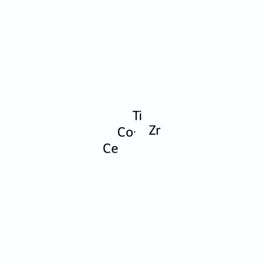 [Ce].[Co].[Ti].[Zr]